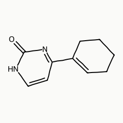 O=c1nc(C2=CCCCC2)cc[nH]1